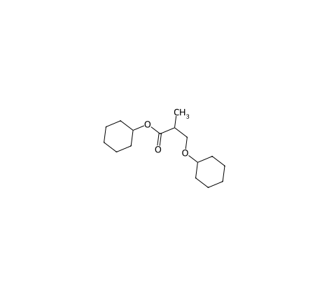 CC(COC1CCCCC1)C(=O)OC1CCCCC1